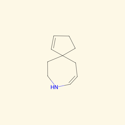 C1=CC2(CC=CNCC2)CC1